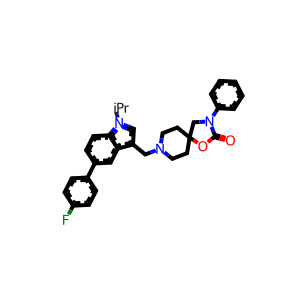 CC(C)n1cc(CN2CCC3(CC2)CN(c2ccccc2)C(=O)O3)c2cc(-c3ccc(F)cc3)ccc21